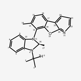 [2H]C(C)(C)N1c2ccccc2N(c2c(C)ccc3c2oc2ncccc23)[C@H]1C